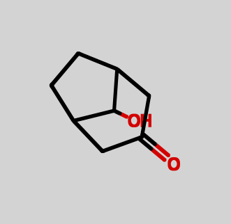 O=C1CC2CCC(C1)C2O